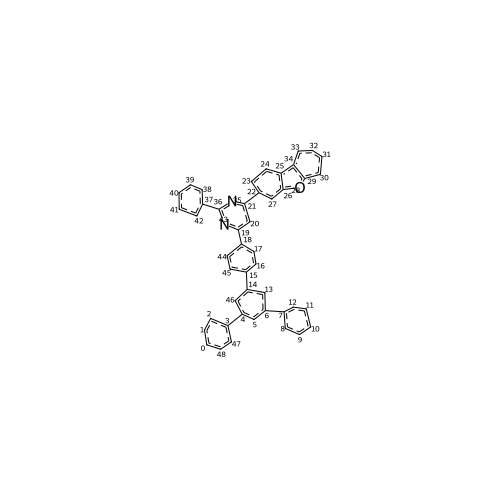 c1ccc(-c2cc(-c3ccccc3)cc(-c3ccc(-c4cc(-c5ccc6c(c5)oc5ccccc56)nc(-c5ccccc5)n4)cc3)c2)cc1